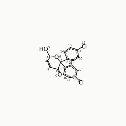 O=C1C=CC(O)OC1(c1ccc(Cl)cc1)c1ccc(Cl)cc1